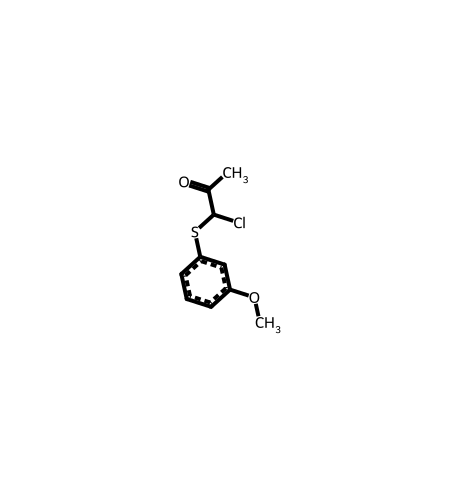 COc1cccc(SC(Cl)C(C)=O)c1